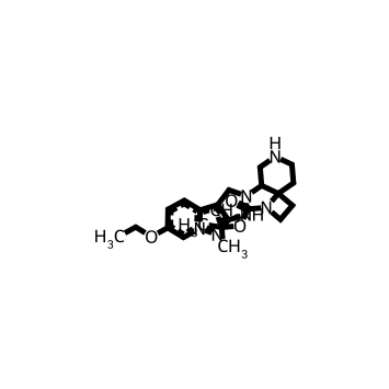 CCOc1ccc2c3c(nn2c1)NN(C1CNCCC12CCN2C(=O)OC(C)(C)C)C3